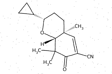 CC1(C)C(=O)C(C#N)=C[C@]2(C)CC[C@@H](C3CC3)O[C@@H]12